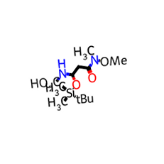 CON(C)C(=O)CC(NC(=O)O)O[Si](C)(C)C(C)(C)C